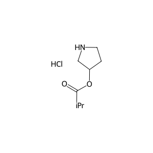 CC(C)C(=O)OC1CCNC1.Cl